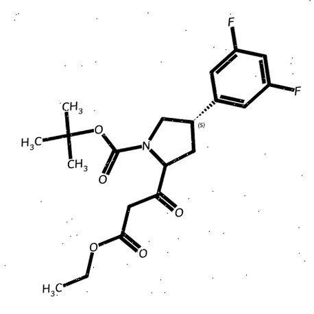 CCOC(=O)CC(=O)C1C[C@@H](c2cc(F)cc(F)c2)CN1C(=O)OC(C)(C)C